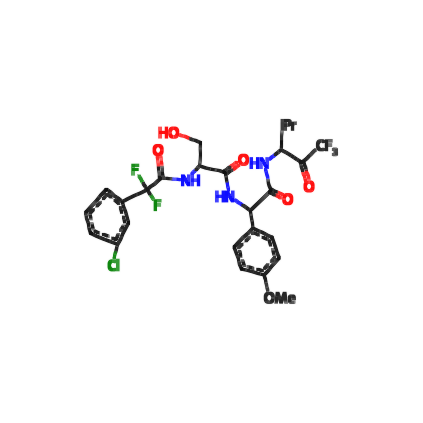 COc1ccc(C(NC(=O)C(CO)NC(=O)C(F)(F)c2cccc(Cl)c2)C(=O)NC(C(=O)C(F)(F)F)C(C)C)cc1